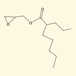 CCCCCC(CCC)C(=O)OCC1CO1